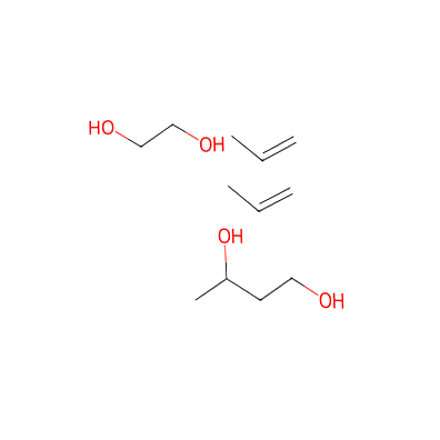 C=CC.C=CC.CC(O)CCO.OCCO